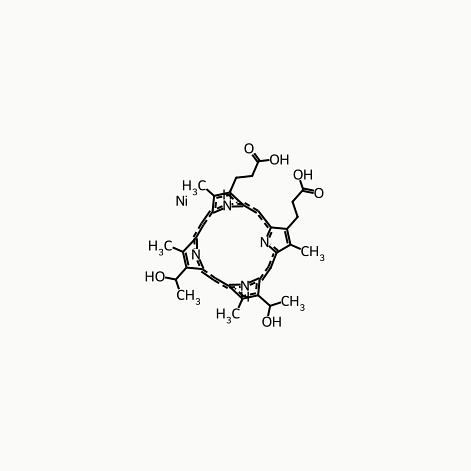 CC1=C(CCC(=O)O)c2cc3[nH]c(cc4nc(cc5[nH]c(cc1n2)c(C(C)O)c5C)C(C(C)O)=C4C)c(C)c3CCC(=O)O.[Ni]